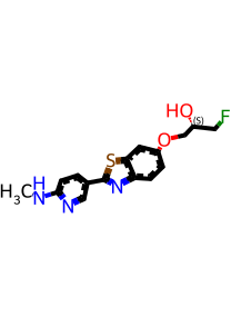 CNc1ccc(-c2nc3ccc(OC[C@H](O)CF)cc3s2)cn1